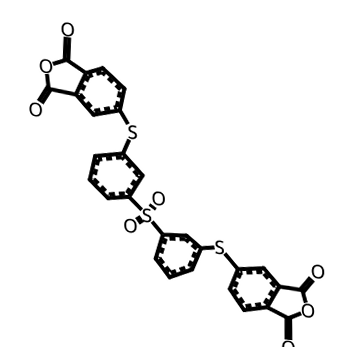 O=C1OC(=O)c2cc(Sc3cccc(S(=O)(=O)c4cccc(Sc5ccc6c(c5)C(=O)OC6=O)c4)c3)ccc21